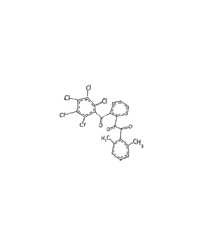 Cc1cccc(C)c1C(=O)[P](=O)c1ccccc1C(=O)c1c(Cl)c(Cl)c(Cl)c(Cl)c1Cl